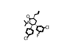 C=CC[C@H]1C[C@H](c2cc(F)cc(Cl)c2)[C@@H](c2ccc(Cl)cc2)N(C(C)C)C1=O